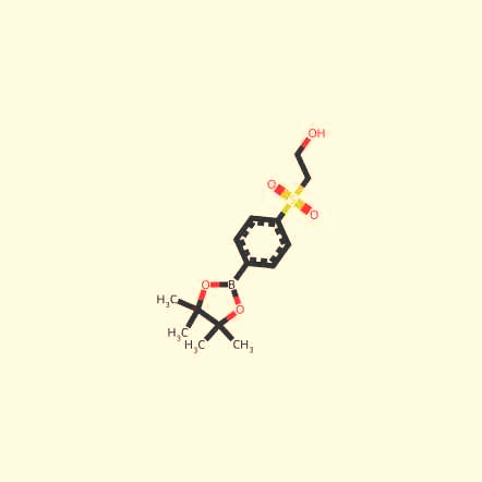 CC1(C)OB(c2ccc(S(=O)(=O)CCO)cc2)OC1(C)C